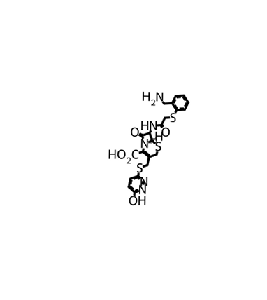 NCc1ccccc1SCC(=O)NC1C(=O)N2C(C(=O)O)=C(CSc3ccc(O)nn3)CS[C@H]12